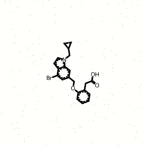 O=C(O)Cc1ccccc1OCc1cc(Br)c2ccn(CC3CC3)c2c1